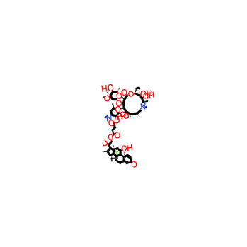 CC[C@H]1OC(=O)[C@H](C)[C@@H](O[C@H]2C[C@@](C)(OC)[C@@H](O)[C@H](C)O2)[C@H](C)[C@@H](O[C@@H]2O[C@H](C)CC(N(C)C)[C@H]2OC(=O)CCC(=O)OCC(=O)C2[C@H](C)CC3[C@@H]4CCC5=CC(=O)C=C[C@]5(C)C4(F)[C@@H](O)C[C@]23C)[C@](C)(O)C[C@@H](C)CN(C)[C@H](C)[C@@H](O)[C@]1(C)O